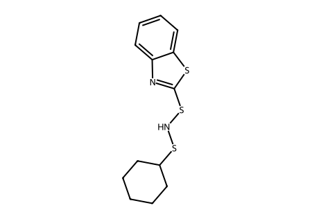 c1ccc2sc(SNSC3CCCCC3)nc2c1